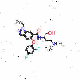 CC(C)Cn1ncc2cc(Oc3ccc(F)cc3F)c(C(=O)N[C@H](CO)CCN(C)C)cc21